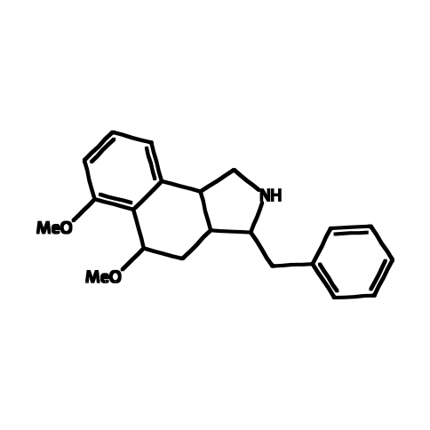 COc1cccc2c1C(OC)CC1C(Cc3ccccc3)NCC21